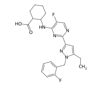 CCc1cc(-c2ncc(F)c(NC3CCCCC3C(=O)O)n2)nn1Cc1ccccc1F